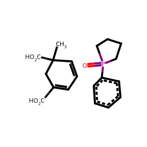 CC1(C(=O)O)C=CC=C(C(=O)O)C1.O=P1(c2ccccc2)CCCC1